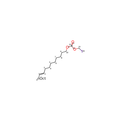 CCCCCCCC/C=C/CCCCCCCCOC(=O)OCI